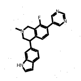 CN1Cc2c(ccc(-c3cncnc3)c2F)C(c2ccc3cc[nH]c3c2)C1